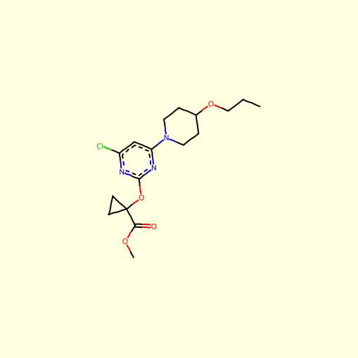 CCCOC1CCN(c2cc(Cl)nc(OC3(C(=O)OC)CC3)n2)CC1